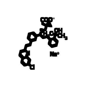 CC(C)(O)c1ccccc1CCC(SCC1(CC(=O)[O-])CC1)c1cccc(C=Cc2ccc3ccc(Cl)cc3n2)c1.[Na+]